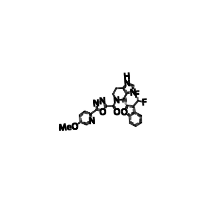 COc1ccc(-c2nnc(C(=O)N3CCc4[nH]cnc4[C@@H]3c3oc4ccccc4c3C(F)F)o2)nc1